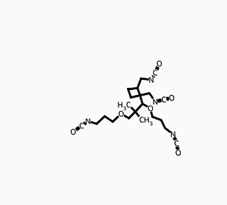 CC(C)(COCCCN=C=O)C(OCCCN=C=O)C1(CN=C=O)CCC1CN=C=O